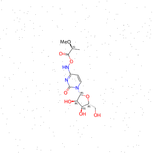 CO[C@@H](C)C(=O)ONc1ccn([C@@H]2O[C@H](CO)[C@@H](O)[C@H]2O)c(=O)n1